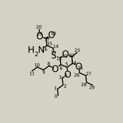 CCCCOC1C(OCCCC)[C@H](SCC(N)C(=O)OC)OC(C)[C@H]1OCCCC